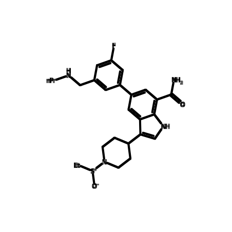 CCCNCc1cc(F)cc(-c2cc(C(N)=O)c3[nH]cc(C4CCN([S+]([O-])CC)CC4)c3c2)c1